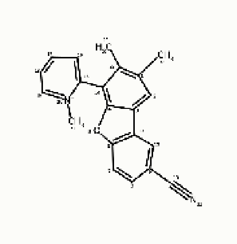 Cc1cc2c(oc3ccc(C#N)cc32)c(-c2cccc[n+]2C)c1C